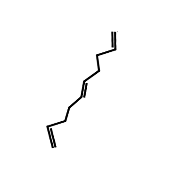 [CH]=CCCC=CCCC=C